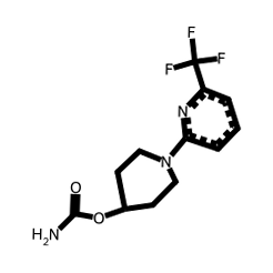 NC(=O)OC1CCN(c2cccc(C(F)(F)F)n2)CC1